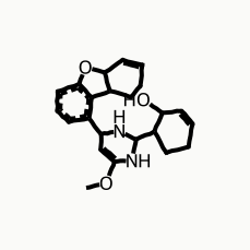 COC1=CC(c2cccc3c2C2CCC=CC2O3)NC(C2CCC=CC2O)N1